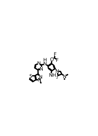 CN(C)C1CN(c2cc(OC(F)F)c(Nc3nccc(-c4nn(C)c5ccsc45)n3)cc2N)C1